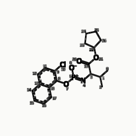 CC(C)C(/N=[P+](\[O-])Oc1c(Cl)ccc2ccccc12)C(=O)OC1CCCC1